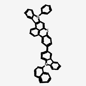 c1ccc(-n2c3ccccc3c3c4cccc5c4c(cc32)Sc2ccc(-c3ccc4c(c3)c3ccccc3n4-c3cccc4ccccc34)cc2-5)cc1